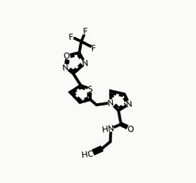 C#CCNC(=O)c1nccn1Cc1ccc(-c2noc(C(F)(F)F)n2)s1